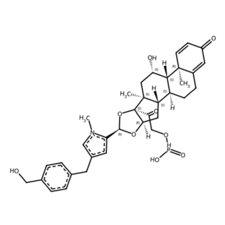 Cn1cc(Cc2ccc(CO)cc2)cc1[C@@H]1O[C@@H]2C[C@H]3[C@@H]4CCC5=CC(=O)C=C[C@]5(C)[C@H]4[C@@H](O)C[C@]3(C)[C@]2(C(=O)CO[PH](=O)O)O1